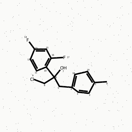 Cc1ccc(CC(O)(CCl)c2ccc(F)cc2F)cc1